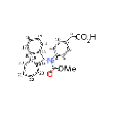 COC(=O)N(c1ccc(CC(=O)O)cc1)C1c2ccccc2-c2ccccc21